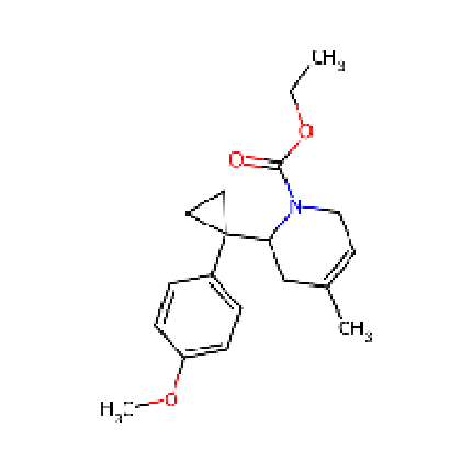 CCOC(=O)N1CC=C(C)CC1C1(c2ccc(OC)cc2)CC1